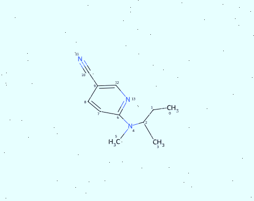 CCC(C)N(C)c1ccc(C#N)cn1